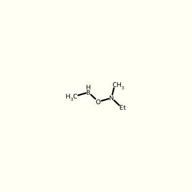 CBON(C)CC